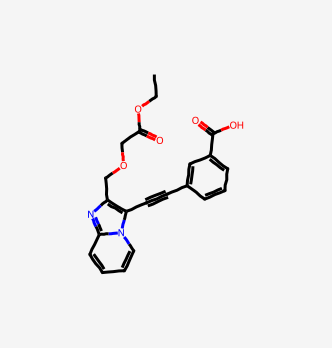 CCOC(=O)COCc1nc2ccccn2c1C#Cc1cccc(C(=O)O)c1